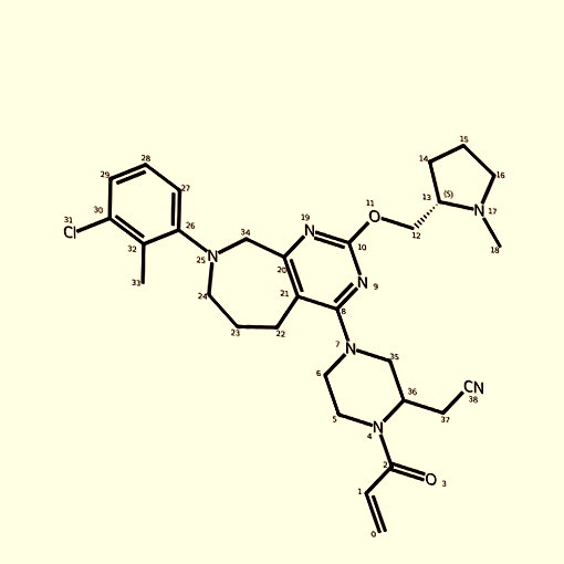 C=CC(=O)N1CCN(c2nc(OC[C@@H]3CCCN3C)nc3c2CCCN(c2cccc(Cl)c2C)C3)CC1CC#N